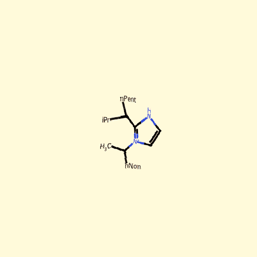 CCCCCCCCCC(C)[n+]1cc[nH]c1C(CCCCC)C(C)C